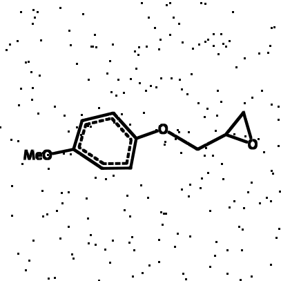 COc1ccc(OCC2CO2)cc1